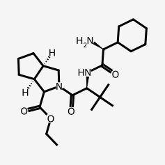 CCOC(=O)C1[C@H]2CCC[C@H]2CN1C(=O)[C@@H](NC(=O)[C@@H](N)C1CCCCC1)C(C)(C)C